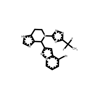 CC(C)c1cccn2nc(C3c4nc[nH]c4CCN3c3nnc(C(C)(F)F)o3)cc12